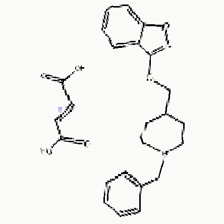 O=C(O)/C=C/C(=O)O.c1ccc(CN2CCC(COc3noc4ccccc34)CC2)cc1